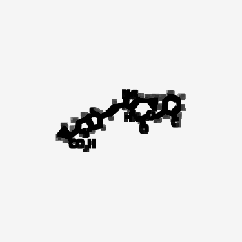 O=C(Nc1c(C#Cc2cc3sc(C4(C(=O)O)CC4)cc3s2)nsc1C1CC1)OCc1ccccc1Cl